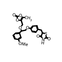 COc1cccc(C(COc2ccc(CC3SC(=O)NC3=O)cc2)OCc2oc(=O)oc2C)c1